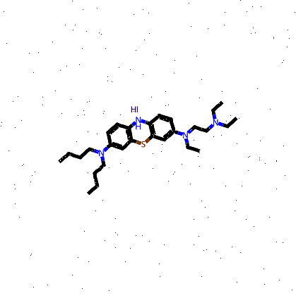 CCCCN(CCCC)c1ccc2c(c1)Sc1cc(N(CC)CCN(CC)CC)ccc1N2.I